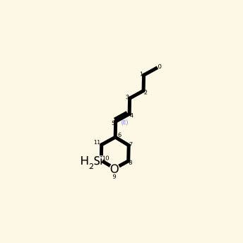 CCCC/C=C/C1CCO[SiH2]C1